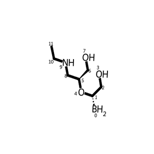 B[C@@H](CO)O[C@H](CO)CNCC